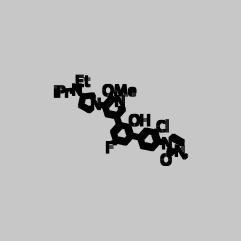 CCN(C(C)C)[C@@H]1CCN(c2cc(-c3cc(F)cc(-c4ccc(-n5ccn(C)c5=O)c(Cl)c4)c3O)cnc2OC)C1